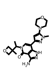 CC(n1cc(-c2cc(N3CCOCC3)n(C)n2)c2[nH]nc(N)c2c1=O)C1(C)COC1